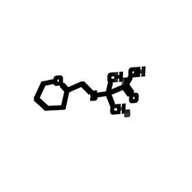 CC(C)(SCC1CCCCO1)C(=O)O